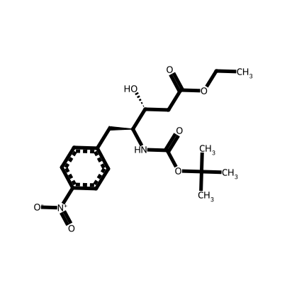 CCOC(=O)C[C@@H](O)[C@H](Cc1ccc([N+](=O)[O-])cc1)NC(=O)OC(C)(C)C